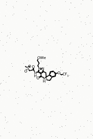 COCCCn1nc2c(c1NC(=O)CS(C)(=O)=O)C(=O)N[C@]1(CCc3cc(OCC(F)(F)F)ccc31)C2